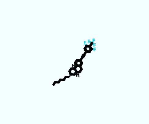 CCCCCCC[C@@H]1CC[C@@H]2c3ccc(C#Cc4cc(F)c(C(F)(F)F)c(F)c4)cc3CC[C@@H]2C1